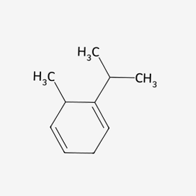 CC(C)C1=CCC=CC1C